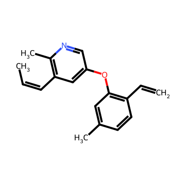 C=Cc1ccc(C)cc1Oc1cnc(C)c(/C=C\C)c1